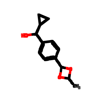 CC1OC(c2ccc(C(O)C3CC3)cc2)O1